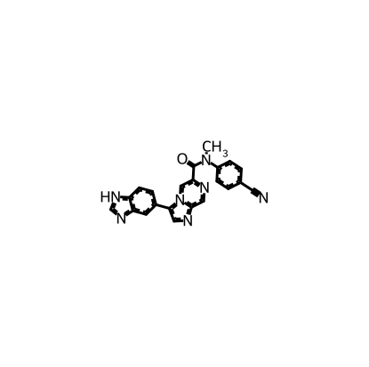 CN(C(=O)c1cn2c(-c3ccc4[nH]cnc4c3)cnc2cn1)c1ccc(C#N)cc1